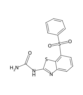 NC(=O)Nc1nc2cccc(S(=O)(=O)c3ccccc3)c2s1